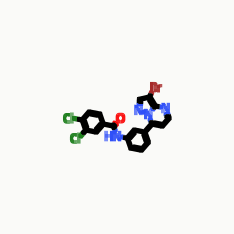 O=C(Nc1cccc(-c2ccnc3c(Br)cnn23)c1)c1ccc(Cl)c(Cl)c1